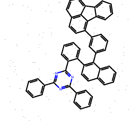 c1ccc(-c2nc(-c3ccccc3)nc(-c3ccccc3-c3ccc4ccccc4c3-c3cccc(-c4ccc5cccc6c5c4-c4ccccc4-6)c3)n2)cc1